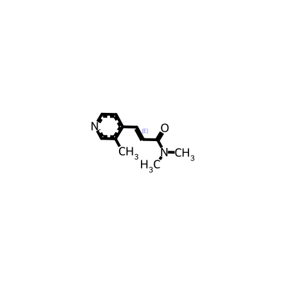 Cc1cnccc1/C=C/C(=O)N(C)C